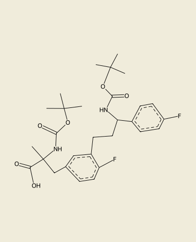 CC(C)(C)OC(=O)NC(CCc1cc(CC(C)(NC(=O)OC(C)(C)C)C(=O)O)ccc1F)c1ccc(F)cc1